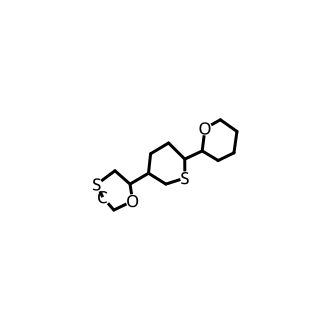 C1CCC(C2CCC(C3CSCCO3)CS2)OC1